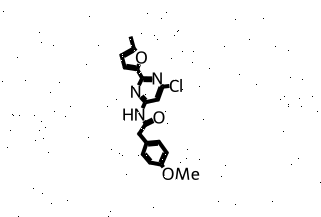 COc1ccc(CC(=O)Nc2cc(Cl)nc(-c3ccc(C)o3)n2)cc1